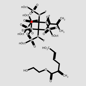 C=C(C)C(=O)OC(N(F)S(=O)(=O)CCCCCCCC)(C(N(F)S(=O)(=O)CCCCCCCC)(N(F)S(=O)(=O)CCCCCCCC)N(F)S(=O)(=O)CCCCCCCC)[N+](F)(CC)S(=O)(=O)CCCCCCCC.C=C(CC=CC(=O)O)C(=O)OCCO